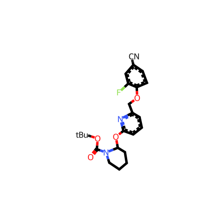 CC(C)(C)OC(=O)N1CCCCC1Oc1cccc(COc2ccc(C#N)cc2F)n1